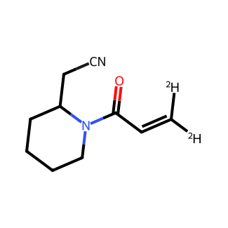 [2H]C([2H])=CC(=O)N1CCCCC1CC#N